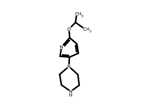 CC(C)Oc1ccc(N2CCNCC2)cn1